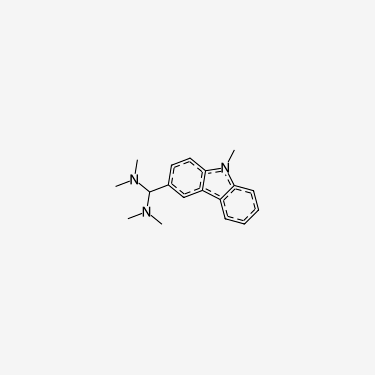 CN(C)C(c1ccc2c(c1)c1ccccc1n2C)N(C)C